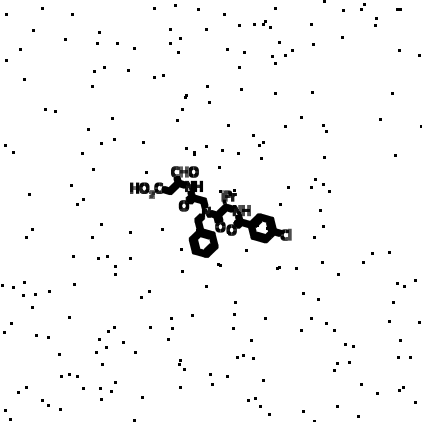 CC(C)[C@H](NC(=O)c1ccc(Cl)cc1)C(=O)N(CC(=O)NC(C=O)CC(=O)O)Cc1ccccc1